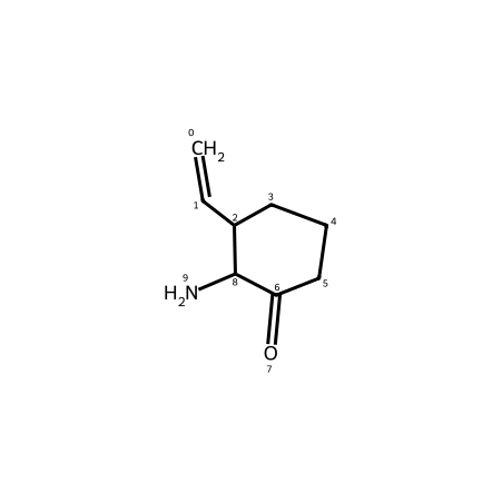 C=CC1CCCC(=O)C1N